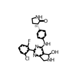 O=C1NCC[C@H]1c1ccc(Nc2nc(-c3c(F)cccc3Cl)nc3c2C(O)NC3)cc1